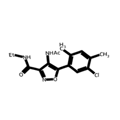 CCNC(=O)c1noc(-c2cc(Cl)c(C)cc2C)c1NC(C)=O